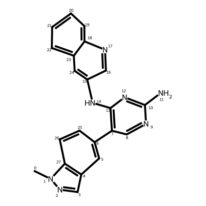 Cn1ncc2cc(-c3cnc(N)nc3Nc3cnc4ccccc4c3)ccc21